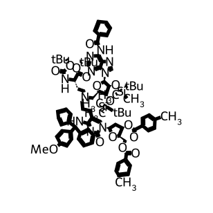 COc1ccc(C(Nc2nc(=O)n([C@@H]3C[C@H](OC(=O)c4ccc(C)cc4)[C@@H](COC(=O)c4ccc(C)cc4)O3)cc2CCCN(CC[C@H](NC(=O)OC(C)(C)C)C(=O)OC(C)(C)C)C[C@H]2O[C@@H](n3cnc4c(NC(=O)c5ccccc5)ncnc43)[C@H](O[Si](C)(C)C(C)(C)C)[C@@H]2O[Si](C)(C)C(C)(C)C)(c2ccccc2)c2ccccc2)cc1